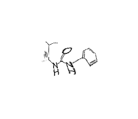 CC(C)[C@@H](C)NC(=O)Nc1ccccc1